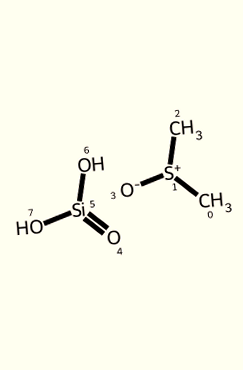 C[S+](C)[O-].O=[Si](O)O